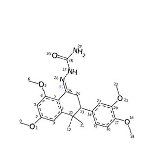 COc1cc(OC)c2c(c1)C(C)(C)C(c1ccc(OC)c(OC)c1)C/C2=N\NC(N)=O